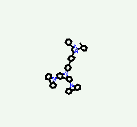 Cc1ccccc1-c1nc(-c2ccccc2)cc(-c2ccc(-c3ccc(-n4c5ccc(-n6c7ccccc7c7ccccc76)cc5c5cc(-n6c7ccccc7c7ccccc76)ccc54)cc3)cc2)n1